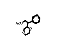 CC(=O)OCC(c1ccccc1)C1COCCO1